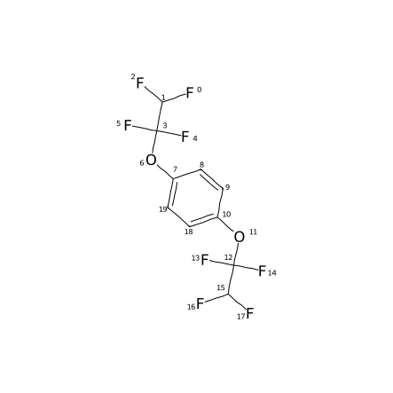 FC(F)C(F)(F)Oc1ccc(OC(F)(F)C(F)F)cc1